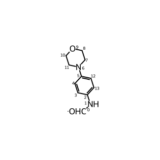 O=[C]Nc1ccc(N2CCOCC2)cc1